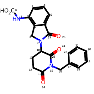 O=C(O)Nc1cccc2c1CN(C1CCC(=O)N(Cc3ccccc3)C1=O)C2=O